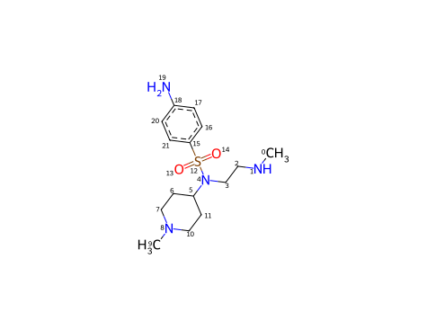 CNCCN(C1CCN(C)CC1)S(=O)(=O)c1ccc(N)cc1